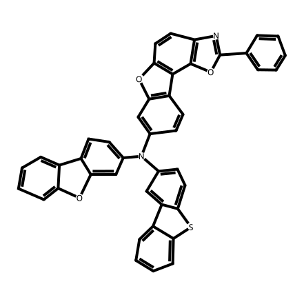 c1ccc(-c2nc3ccc4oc5cc(N(c6ccc7c(c6)oc6ccccc67)c6ccc7sc8ccccc8c7c6)ccc5c4c3o2)cc1